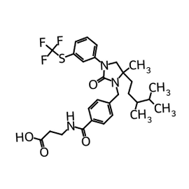 CC(C)C(C)CCC1(C)CN(c2cccc(SC(F)(F)F)c2)C(=O)N1Cc1ccc(C(=O)NCCC(=O)O)cc1